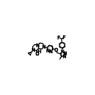 Cc1nnn(-c2ccc(C(F)F)cc2)c1COc1ccc(N2CCN3CCN(C4CC4)C(=O)[C@@H]3C2)nn1